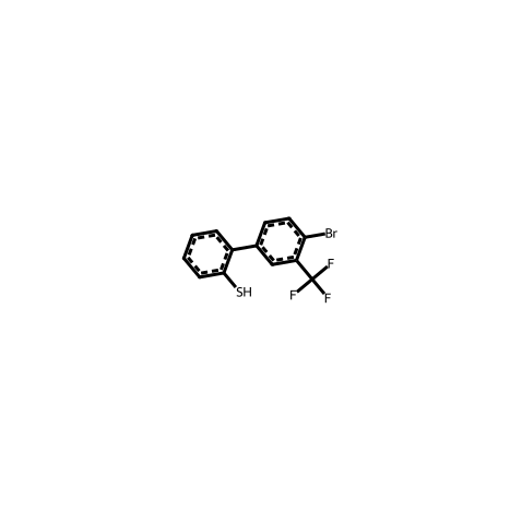 FC(F)(F)c1cc(-c2ccccc2S)ccc1Br